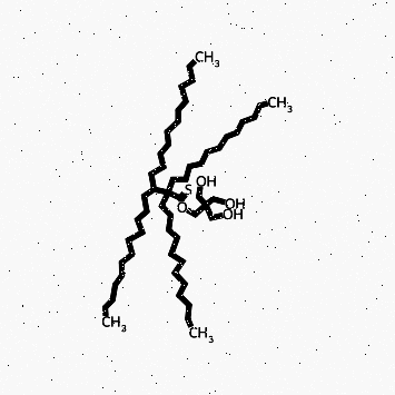 CCCCCCCCCCCCC(CCCCCCCCCCCC)C(CCCCCCCCCCCC)(CCCCCCCCCCCC)C(=S)OCC(CO)(CO)CO